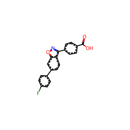 O=C(O)c1ccc(-c2noc3cc(-c4ccc(F)cc4)ccc23)cc1